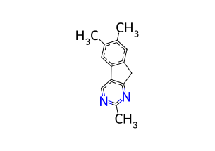 Cc1ncc2c(n1)Cc1cc(C)c(C)cc1-2